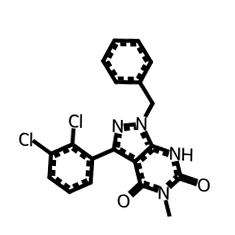 Cn1c(=O)[nH]c2c(c(-c3cccc(Cl)c3Cl)nn2Cc2ccccc2)c1=O